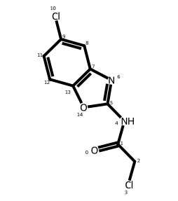 O=C(CCl)Nc1nc2cc(Cl)ccc2o1